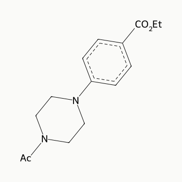 CCOC(=O)c1ccc(N2CCN(C(C)=O)CC2)cc1